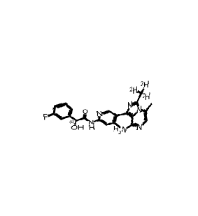 [2H]C([2H])([2H])c1nc(-c2cnc(NC(=O)[C@@H](O)c3cccc(F)c3)cc2C)c2c(N)ncc(C)n12